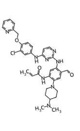 C=CC(=O)Nc1cc(Nc2nccc(Nc3ccc(OCc4ccccn4)c(Cl)c3)n2)c(C=O)cc1N1CCC(N(C)C)CC1